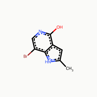 Cc1cc2c(O)ncc(Br)c2[nH]1